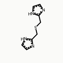 c1c[nH]c(CSCc2ncc[nH]2)n1